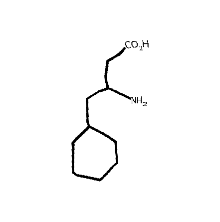 NC(CC(=O)O)CC1CCCCC1